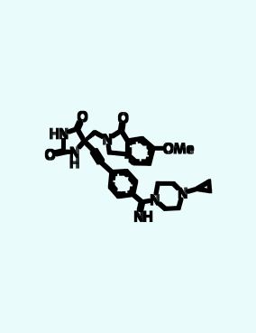 COc1ccc2c(c1)C(=O)N(C[C@@]1(C#Cc3ccc(C(=N)N4CCN(C5CC5)CC4)cc3)NC(=O)NC1=O)C2